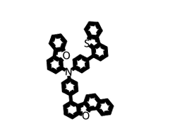 c1ccc2c(c1)ccc1c2oc2cccc(-c3ccc(N(c4ccc(-c5cccc6c5sc5ccccc56)cc4)c4cccc5c4oc4ccccc45)cc3)c21